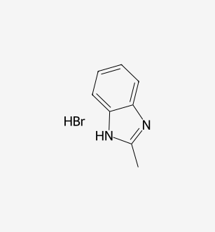 Br.Cc1nc2ccccc2[nH]1